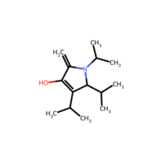 C=C1C(O)=C(C(C)C)C(C(C)C)N1C(C)C